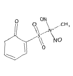 C[N+](N=O)(N=O)S(=O)(=O)C1=CC=CCC1=O